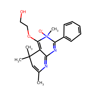 CC1=CC(C)(C)C2=C(OCCO)[N+](C)([O-])C(c3ccccc3)=NC2=N1